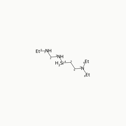 CCNCN[SiH2]CCN(CC)CC